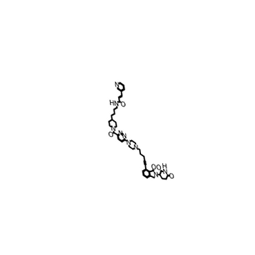 O=C(/C=C/c1cccnc1)NCCCCC1CCN(C(=O)c2ccc(N3CCN(CCCC#Cc4cccc5c4C(=O)N(C4CCC(=O)NC4=O)C5)CC3)nn2)CC1